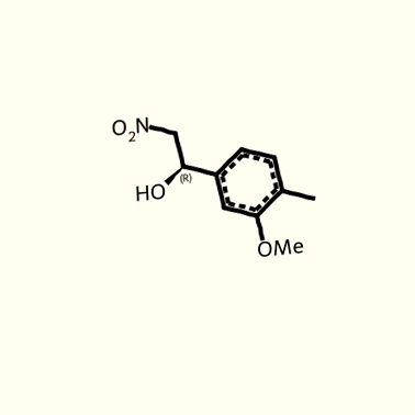 COc1cc([C@@H](O)C[N+](=O)[O-])ccc1C